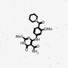 COc1cc(Nc2nc(SC)[nH]c(=O)c2C(N)=O)ccc1C(=O)N1CCCCC1